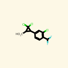 O=C(O)C1C(c2ccc(C(F)F)c(Cl)c2)C1(Cl)Cl